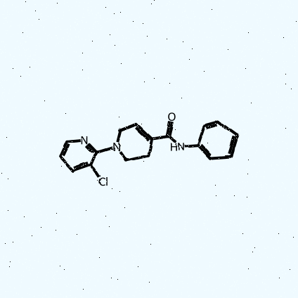 O=C(Nc1ccccc1)C1=CCN(c2ncccc2Cl)CC1